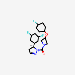 O=C(N1CC(OC2CCC(F)CC2)C1)N1N=CC[C@H]1C1CC(F)CC(F)C1